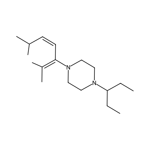 CCC(CC)N1CCN(C(/C=C\C(C)C)=C(C)C)CC1